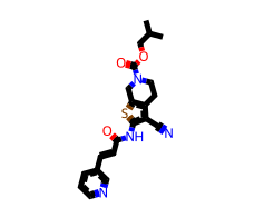 CC(C)COC(=O)N1CCc2c(sc(NC(=O)/C=C/c3cccnc3)c2C#N)C1